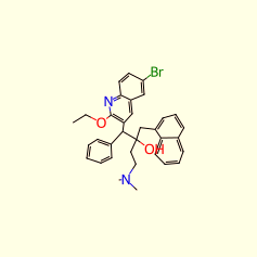 CCOc1nc2ccc(Br)cc2cc1C(c1ccccc1)C(O)(CCN(C)C)Cc1cccc2ccccc12